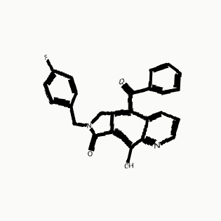 O=C(c1ccccc1)c1c2c(c(O)c3ncccc13)C(=O)N(Cc1ccc(F)cc1)C2